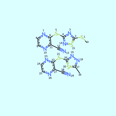 CSc1nc(Sc2nccnc2C#N)ns1.Cc1nnc(Sc2nccnc2C#N)s1